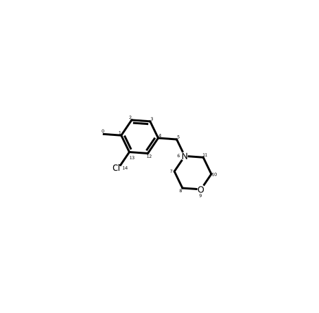 Cc1ccc(CN2CCOCC2)cc1Cl